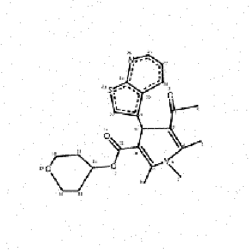 CC(=O)C1=C(C)N(C)C(C)=C(C(=O)OC2CCOCC2)C1c1csc2ncccc12